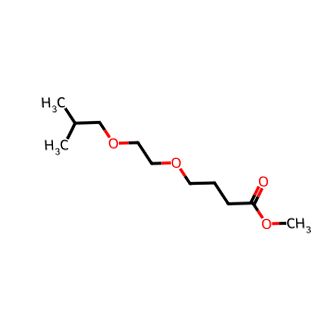 COC(=O)CCCOCCOCC(C)C